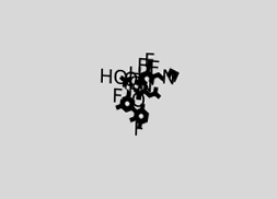 Cc1cc(-c2c(C)ccc(F)c2C)cc([C@H](CC(=O)O)NC(=O)C(CC(C)C)n2cc(CCN3CCC3)c(C(F)(F)F)cc2=O)c1F